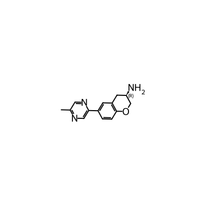 Cc1cnc(-c2ccc3c(c2)C[C@@H](N)CO3)cn1